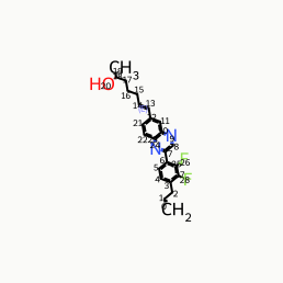 C=CCc1ccc(-c2cnc3cc(/C=C/CCCC(C)O)ccc3n2)c(F)c1F